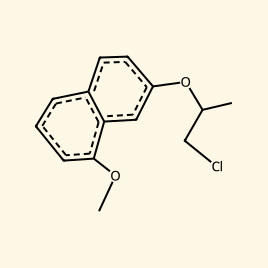 COc1cccc2ccc(OC(C)CCl)cc12